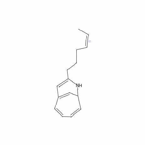 C/C=C\CCCC1=CC2=CC(C=CC=C2)N1